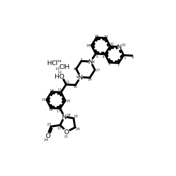 Cc1ccc2c(N3CCN(CC(O)c4cccc(N5CCOC5C=O)c4)CC3)cccc2n1.Cl.Cl